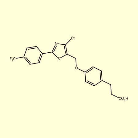 CCc1nc(-c2ccc(C(F)(F)F)cc2)sc1COc1ccc(CCC(=O)O)cc1